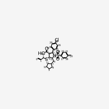 C=CCSC1C(CC2CCCC2)N(S(=O)(=O)c2ccc(C)cc2)C(c2ccc(Cl)cc2)[C@@H]1C(=O)O